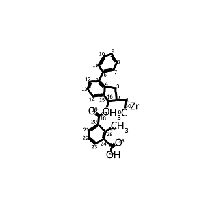 CCC1Cc2c(-c3ccccc3)cccc2C1OC(=O)c1cccc(C(=O)O)c1C.[Zr]